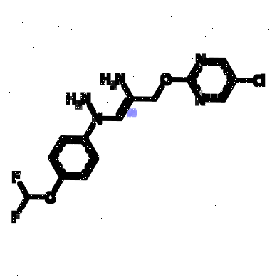 N/C(=C\N(N)c1ccc(OC(F)F)cc1)COc1ncc(Cl)cn1